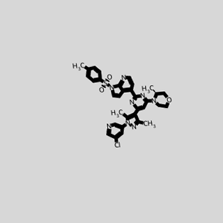 Cc1ccc(S(=O)(=O)n2ccc3c(-c4nc(-c5c(C)nn(-c6cncc(Cl)c6)c5C)cc(N5CCOC[C@H]5C)n4)ccnc32)cc1